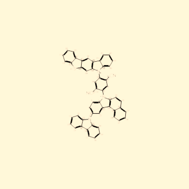 N#Cc1cc(-n2c3ccc(-n4c5ccccc5c5ccccc54)cc3c3c4ccccc4ccc32)c(C#N)cc1-n1c2ccccc2c2cc3c(cc21)sc1ccccc13